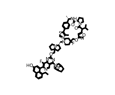 CCc1cccc2cc(O)cc(-c3ncc4c(N5CC6CCC(C5)N6)nc(OCC56CCCN5[C@H](CN5CCC(F)(COc7cc(C(C(=O)N8CCC[C@H]8C(=O)N[C@@H](C)c8ccc(-c9scnc9C)cc8)C(C)C)on7)CC5)CC6)nc4c3F)c12